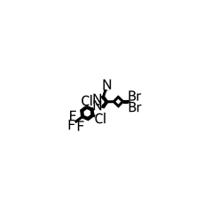 N#Cc1nn(-c2c(Cl)cc(C(F)(F)F)cc2Cl)cc1C1CC(=C(Br)Br)C1